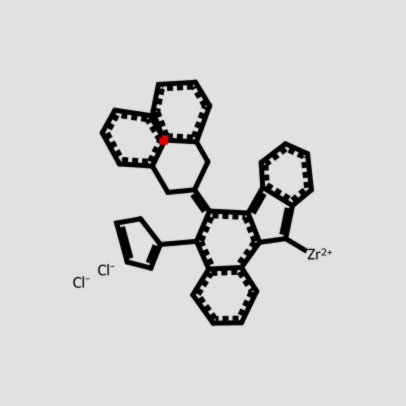 [Cl-].[Cl-].[Zr+2][C]1=c2ccccc2=c2c1c1ccccc1c(C1=CC=CC1)c2=C(Cc1ccccc1)Cc1ccccc1